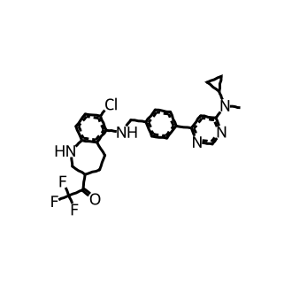 CN(c1cc(-c2ccc(CNc3c(Cl)ccc4c3CCC(C(=O)C(F)(F)F)CN4)cc2)ncn1)C1CC1